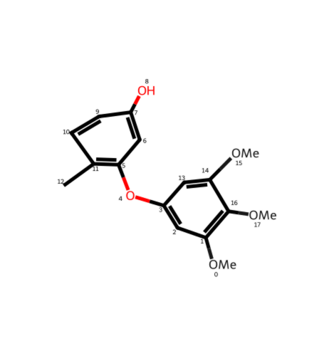 COc1cc(Oc2cc(O)ccc2C)cc(OC)c1OC